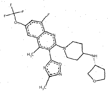 Cc1noc(-c2c(N3CCC(N[C@@H]4CCOC4)CC3)nc3c(F)cc(OC(F)(F)F)cc3c2C)n1